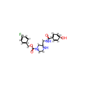 O=C(NCC1CN(C(=O)OCc2ccc(F)cc2)CCN1)c1ccc(O)cc1